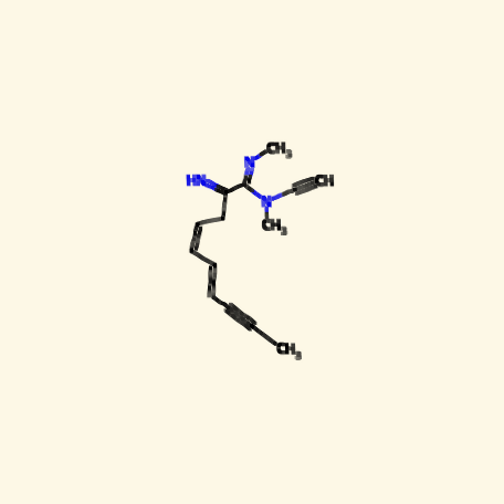 C#CN(C)/C(=N\C)C(=N)C/C=C\C=C\C#CC